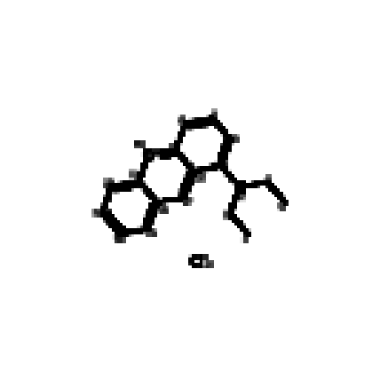 CCN(CC)c1cccc2[o+]c3ccccc3cc12.[Cl-]